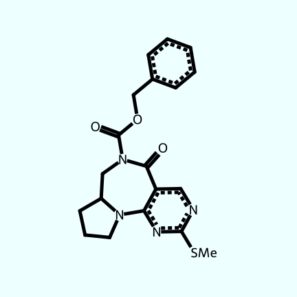 CSc1ncc2c(n1)N1CCCC1CN(C(=O)OCc1ccccc1)C2=O